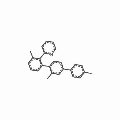 Cc1ccc(-c2ccc(-c3cccc(C)c3-c3ccccn3)c(C)c2)cc1